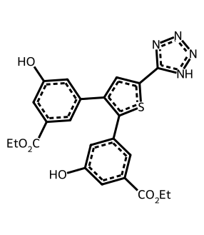 CCOC(=O)c1cc(O)cc(-c2cc(-c3nnn[nH]3)sc2-c2cc(O)cc(C(=O)OCC)c2)c1